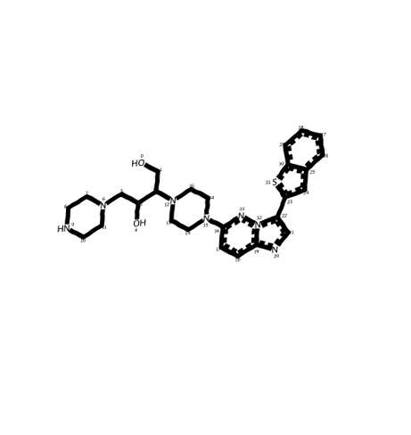 OCC(C(O)CN1CCNCC1)N1CCN(c2ccc3ncc(-c4cc5ccccc5s4)n3n2)CC1